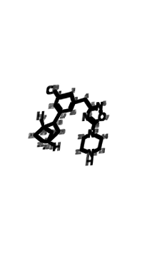 Clc1cc(Cc2noc(N3CCNCC3)n2)cc(C2C[C@@H]3CC[C@H]2C3)c1